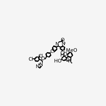 CN1C(=O)CN=C(c2ccccc2)c2cc(Cl)ccc21.COc1ccc2c3c1O[C@H]1C[C@@H](O)C=C[C@@]31CCN(C)C2.Clc1ccc(COC(Cn2ccnc2)c2ccc(Cl)cc2Cl)cc1